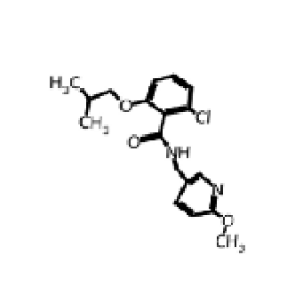 COc1ccc(CNC(=O)c2c(Cl)cccc2OCC(C)C)cn1